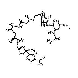 CC(=O)N[C@H](CC(N)=O)C(=O)NC(=O)N[C@@H](C)CCC(=O)CC(=O)NC1(C(=O)CC(=O)NCC2=N[C@](C)(C3=NC(C(=O)O)CS3)CS2)CC1